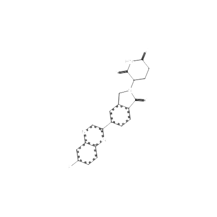 O=C1CCC(N2Cc3cc(-c4cnc5cc(F)ccc5n4)ccc3C2=O)C(=O)N1